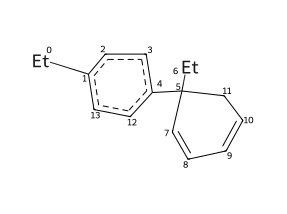 CCc1ccc(C2(CC)C=CC=CC2)cc1